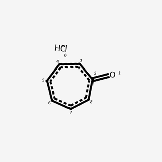 Cl.O=c1cccccc1